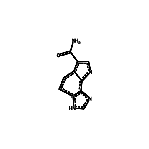 NC(=O)c1cnc2c3nc[nH]n3ccc1-2